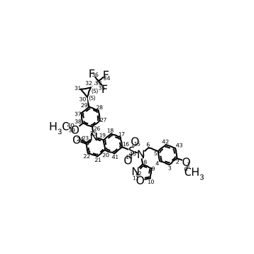 COc1ccc(CN(c2ccon2)S(=O)(=O)c2ccc3c(ccc(=O)n3-c3ccc([C@H]4C[C@@H]4C(F)(F)F)cc3OC)c2)cc1